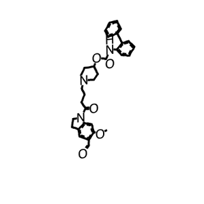 COc1cc2c(cc1C=O)CCN2C(=O)CCCN1CCC(OC(=O)Nc2ccccc2-c2ccccc2)CC1